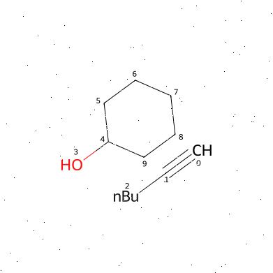 C#CCCCC.OC1CCCCC1